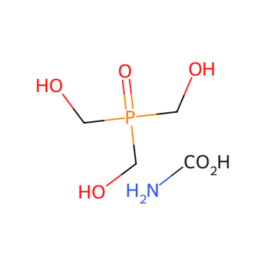 NC(=O)O.O=P(CO)(CO)CO